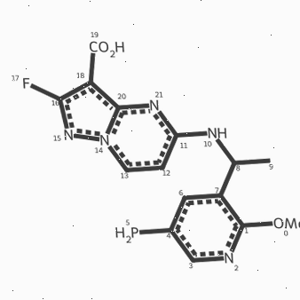 COc1ncc(P)cc1C(C)Nc1ccn2nc(F)c(C(=O)O)c2n1